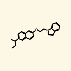 CCC(C)c1ccc2cc(OCCn3ccc4ccccc43)ccc2c1